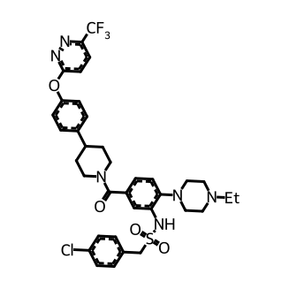 CCN1CCN(c2ccc(C(=O)N3CCC(c4ccc(Oc5ccc(C(F)(F)F)nn5)cc4)CC3)cc2NS(=O)(=O)Cc2ccc(Cl)cc2)CC1